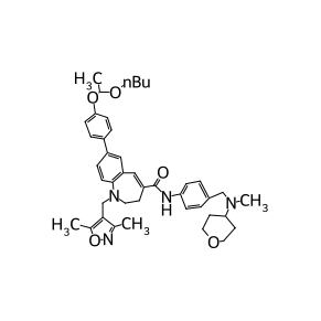 CCCCOC(C)Oc1ccc(-c2ccc3c(c2)C=C(C(=O)Nc2ccc(CN(C)C4CCOCC4)cc2)CCN3Cc2c(C)noc2C)cc1